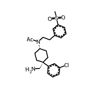 CC(=O)N(CCc1cccc(S(C)(=O)=O)c1)[C@H]1CC[C@](CN)(c2cccc(Cl)c2)CC1